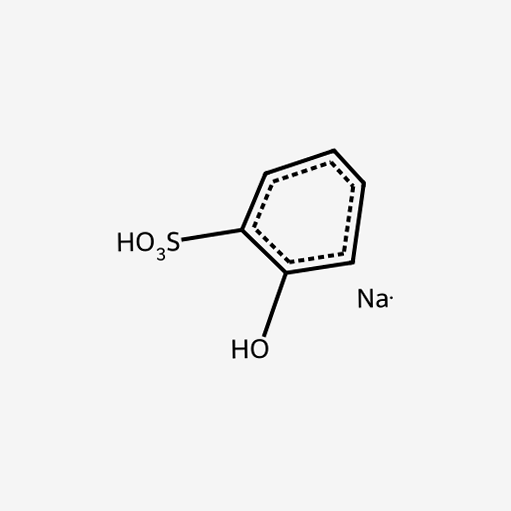 O=S(=O)(O)c1ccccc1O.[Na]